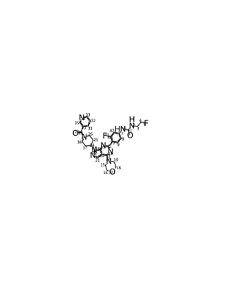 O=C(NCCF)Nc1ccc(-c2nc(N3CCOCC3)c3cnn(C4CCN(C(=O)c5cccnc5)CC4)c3n2)c(F)c1